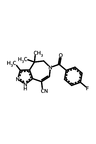 Cc1n[nH]c2c1C(C)(C)CN(C(=O)c1ccc(F)cc1)C=C2C#N